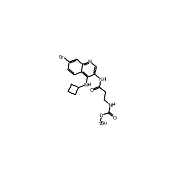 CC(C)(C)OC(=O)NCCC(=O)Nc1cnc2cc(Br)ccc2c1NC1CCC1